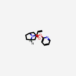 C=CC(=O)N1C2CC[C@H]1C[C@H](Oc1ccccn1)C2